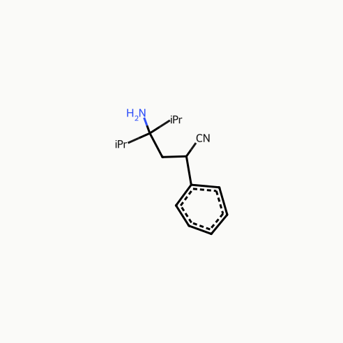 CC(C)C(N)(CC(C#N)c1ccccc1)C(C)C